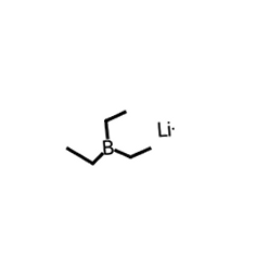 CCB(CC)CC.[Li]